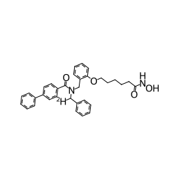 [2H]C(c1ccccc1)N(Cc1ccccc1OCCCCCC(=O)NO)C(=O)c1ccc(-c2ccccc2)cc1